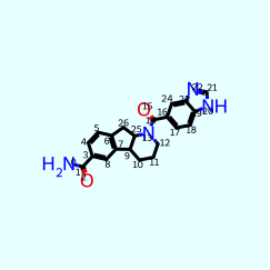 NC(=O)c1ccc2c(c1)C1CCCN(C(=O)c3ccc4[nH]cnc4c3)C1C2